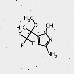 COC(C)(c1cc(N)nn1C)C(F)(F)F